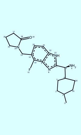 CC1CCC([C@H](N)c2nc3c(F)c(CN4CCCC4=O)ccc3[nH]2)CC1